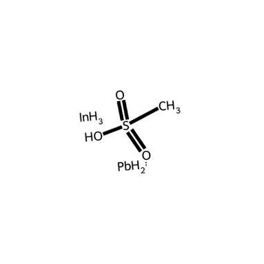 CS(=O)(=O)O.[InH3].[PbH2]